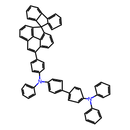 c1ccc(N(c2ccccc2)c2ccc(-c3ccc(N(c4ccccc4)c4ccc(-c5cc6cccc7c6c6c(cccc56)C75c6ccccc6-c6ccccc65)cc4)cc3)cc2)cc1